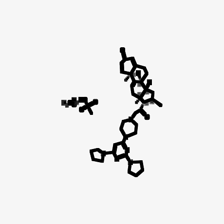 CS(=O)(=O)O.C[C@@H]1C[C@H]2[C@@H]3CCC4=CC(=O)C=C[C@]4(C)C3=CC[C@]2(C)[C@H]1C(=O)CN1CCN(c2cc(N3CCCC3)nc(N3CCCC3)n2)CC1.O.O